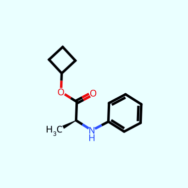 C[C@H](Nc1ccccc1)C(=O)OC1CCC1